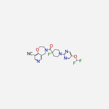 N#Cc1cncc2c1OCCN(C(=O)C1(F)CCN(c3ncc(OC(F)F)cn3)CC1)C2